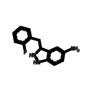 Nc1ccc2c(c1)C(Cc1ccccc1F)NN2